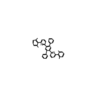 Cc1cccc(C)c1-c1cccc(-c2cc(-c3ccccc3)c(-c3cccc(-c4c(C)cccc4C)n3)cc2-c2ccccc2)n1